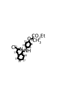 CCOC(=O)C(C)Oc1ccc(Nc2nc(Cl)cc3ccccc23)cc1